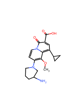 COc1c(N2CCCC(N)C2)ccn2c(=O)c(C(=O)O)cc(C3CC3)c12